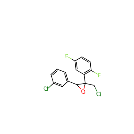 Fc1ccc(F)c(C2(CCl)OC2c2cccc(Cl)c2)c1